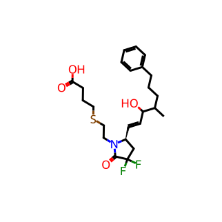 CC(CCCc1ccccc1)C(O)/C=C/[C@H]1CC(F)(F)C(=O)N1CCSCCCC(=O)O